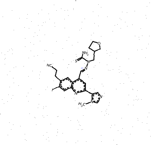 Cn1cncc1-c1cc(/C=N/N(CC2CCOC2)C(N)=S)c2cc(CCC#N)c(I)cc2n1